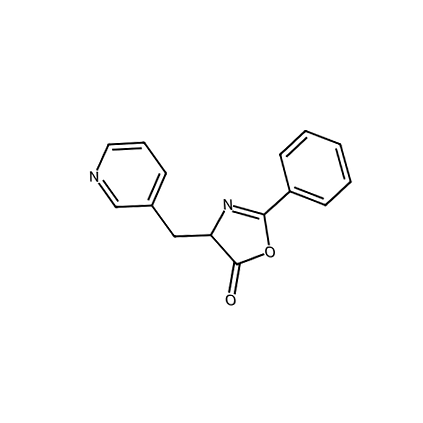 O=C1OC(c2ccccc2)=NC1Cc1cccnc1